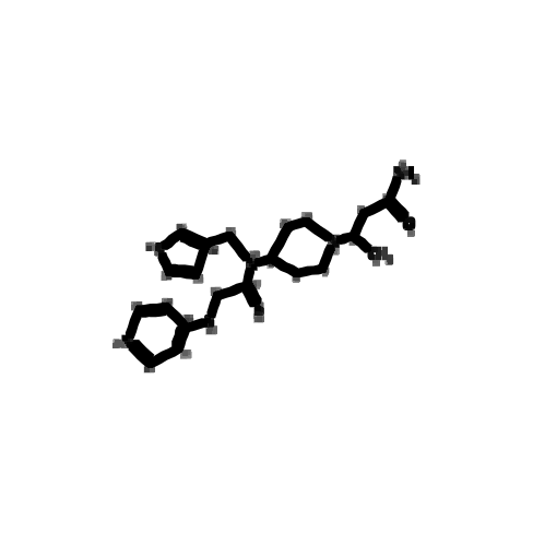 CC(CC(N)=O)N1CCC(N(Cc2ccsc2)C(=S)CSc2ccncc2)CC1